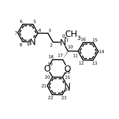 CN(CCc1ccccn1)C(c1ccccc1)[C@H]1COc2cccnc2O1